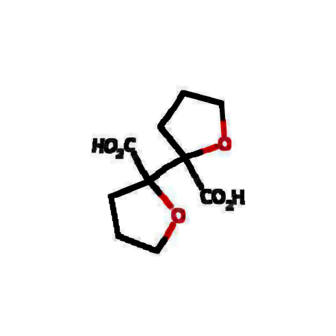 O=C(O)C1(C2(C(=O)O)CCCO2)CCCO1